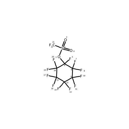 O=S(=O)(OC1(F)C(F)(F)C(F)(F)C(F)(F)C(F)(F)C1(F)F)C(F)(F)F